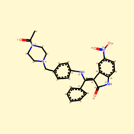 CC(=O)N1CCN(Cc2ccc(NC(=C3C(=O)Nc4ccc([N+](=O)[O-])cc43)c3ccccc3)cc2)CC1